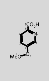 COOc1ccc(C(=O)O)nc1